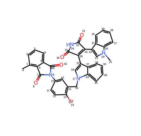 Cc1cccc2c1C(=O)N(c1ccc(Br)c(Cn3cc(C4=C(c5cn(C)c6ccccc56)C(=O)NC4=O)c4ccccc43)c1)C2=O